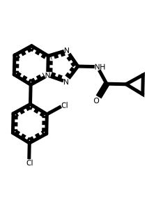 O=C(Nc1nc2cccc(-c3ccc(Cl)cc3Cl)n2n1)C1CC1